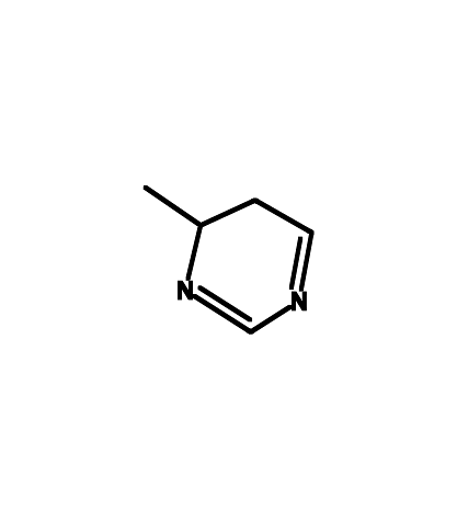 CC1CC=NC=N1